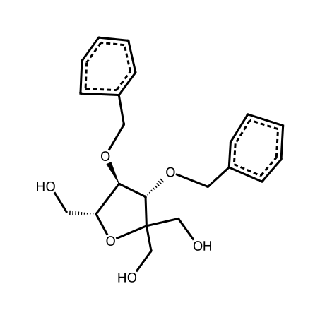 OC[C@H]1OC(CO)(CO)[C@@H](OCc2ccccc2)[C@@H]1OCc1ccccc1